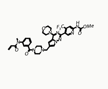 C=CC(=O)N(C)c1cccc(C(=O)N2CCN(Cc3cc4c(N5CCOCC5)nc(-c5cnc(NC(=O)OC)cc5C(F)(F)F)nn4c3)CC2)c1